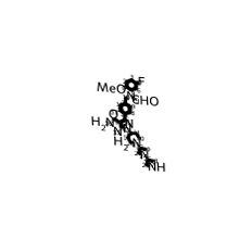 COc1ccc(F)cc1N(C=O)Cc1ccc(-c2nn(C3CCN(C4CN(C5CNC5)C4)CC3)c(N)c2C(N)=O)cc1